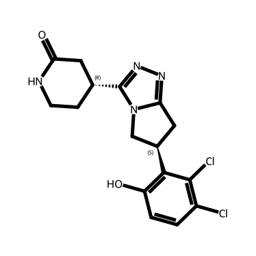 O=C1C[C@H](c2nnc3n2C[C@H](c2c(O)ccc(Cl)c2Cl)C3)CCN1